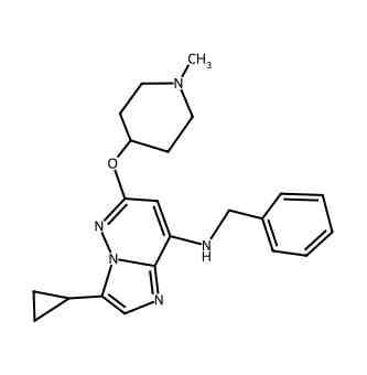 CN1CCC(Oc2cc(NCc3ccccc3)c3ncc(C4CC4)n3n2)CC1